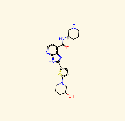 O=C(N[C@H]1CCCNC1)c1ccnc2[nH]c(-c3ccc(N4CCCC(O)C4)s3)nc12